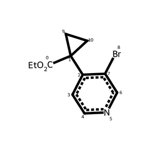 CCOC(=O)C1(c2ccncc2Br)CC1